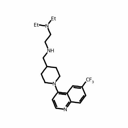 CCN(CC)CCNCC1CCN(c2ccnc3ccc(C(F)(F)F)cc23)CC1